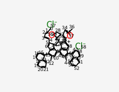 Cc1ccc(C2=Cc3c(ccc(C)c3-c3cccc4ccccc34)[CH]2[Zr+2](=[C]2CCC2)[CH]2C(c3ccc(C)o3)=Cc3c2ccc(C)c3-c2cccc3ccccc23)o1.[Cl-].[Cl-]